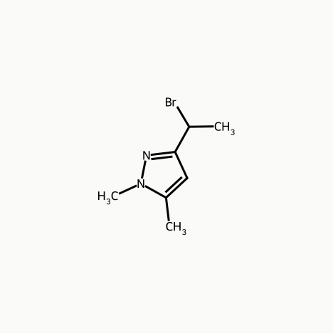 Cc1cc(C(C)Br)nn1C